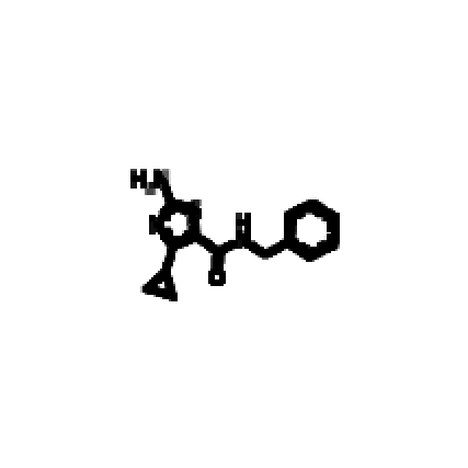 Nc1nc(C2CC2)c(C(=O)NCc2ccccc2)s1